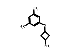 Cc1cc(C)cc(OC2CC(N)C2)c1